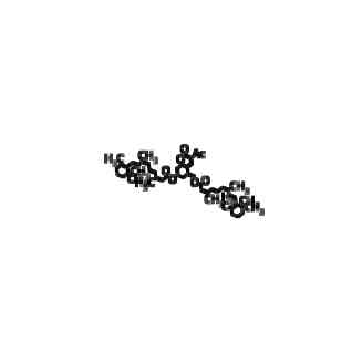 CC(=O)c1cc2c(oc1=O)C=C(OC(=O)C=C(C)C=CC=C(C)C=CC1=C(C)CCCC1(C)C)CC2=COC(=O)C=C(C)C=CC=C(C)C=CC1=C(C)CCCC1(C)C